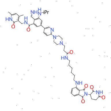 Cc1cc(C)c(CNC(=O)c2cc(-c3ccc(N4CCN(CCC(=O)NCCCCCCNc5cccc6c5C(=O)N(C5CCC(=O)NC5=O)C6=O)CC4)nc3)cc(NC(C)C)c2C=N)c(=O)[nH]1